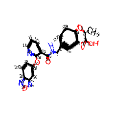 C[C@@H](OC1CC=C(CNC(=O)c2cccnc2Oc2ccc3nonc3c2)CC1)C(=O)O